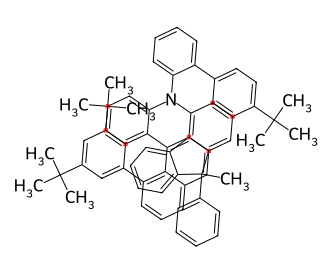 CC(C)(C)c1ccc(-c2ccccc2N(c2ccccc2-c2cccc3cccc(-c4cc(C(C)(C)C)cc(C(C)(C)C)c4)c23)c2cccc3c2-c2ccccc2C3(C)c2ccccc2)cc1